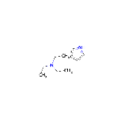 CCN(CC)CC.c1cc[nH]c1